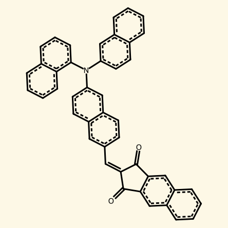 O=C1C(=Cc2ccc3cc(N(c4ccc5ccccc5c4)c4cccc5ccccc45)ccc3c2)C(=O)c2cc3ccccc3cc21